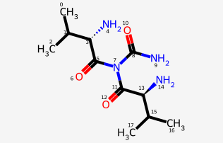 CC(C)[C@H](N)C(=O)N(C(N)=O)C(=O)[C@@H](N)C(C)C